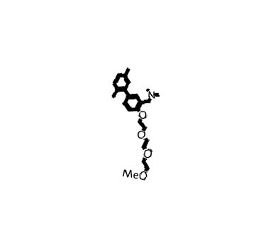 COCCOCCOCCOc1ccc(-c2cc(C)ccc2C)cc1CN(C)C